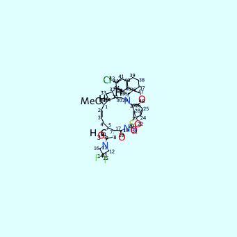 CO[C@@H]1C=CC[C@H](C)[C@@H](CC(=O)N2CC(F)(F)C2)C(=O)NS(=O)(=O)c2ccc3c(c2)N(C[C@@H]2CC[C@H]21)C[C@@]1(CCCc2cc(Cl)ccc21)CO3